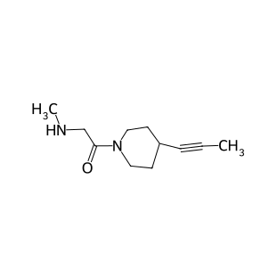 CC#CC1CCN(C(=O)CNC)CC1